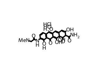 CNCC(=O)Nc1ccc2c(c1O)C(=O)C1=C(O)C3(O)C(=O)C(C(N)=O)C(O)=CC3=CC1=C2.Cl.Cl.O